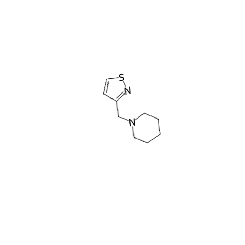 c1cc(CN2CCCCC2)ns1